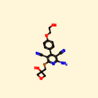 N#Cc1c(N)nc(SCC2(O)COC2)c(C#N)c1-c1ccc(OCCO)cc1